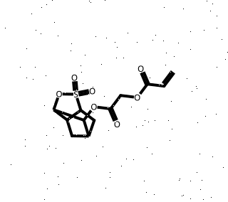 C=CC(=O)OCC(=O)OC1C2CC3C1OS(=O)(=O)C3C2